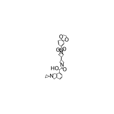 O=C(C(O)c1cccc2c1CN(C1CC1)C2)N1CC(=C2CN(S(=O)(=O)c3ccc4c(c3)OCCO4)C2)C1